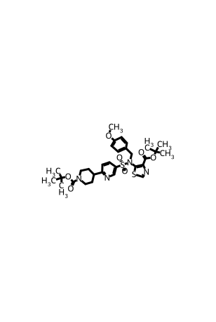 COc1ccc(CN(c2scnc2C(=O)OC(C)(C)C)S(=O)(=O)c2ccc(C3CCN(C(=O)OC(C)(C)C)CC3)nc2)cc1